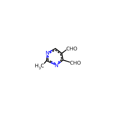 Cc1ncc(C=O)c(C=O)n1